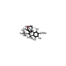 [2H]c1c([2H])c2c(c([2H])c1OC)[C@]13CCCCC1[C@@H](N(C([2H])([2H])[2H])C([2H])([2H])C3([2H])[2H])C2([2H])[2H]